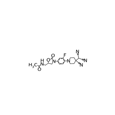 CC(=O)NCC1CN(c2ccc(N3CCC(C#N)(C(C#N)C#N)CC3)c(F)c2)C(=O)O1